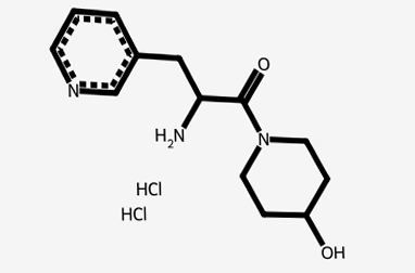 Cl.Cl.NC(Cc1cccnc1)C(=O)N1CCC(O)CC1